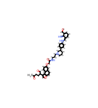 CC(=O)CCC(C=O)c1coc2ccc3cc(OCC(=O)NCCCN4CCCC(c5ccc(N/C=C6/C=CC=C(C=O)C6=N)cc5)C4)ccc3c12